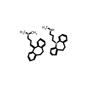 CN(C)CCC=C1c2ccccc2CCc2ccccc21.CNCCCN1c2ccccc2CCc2ccccc21